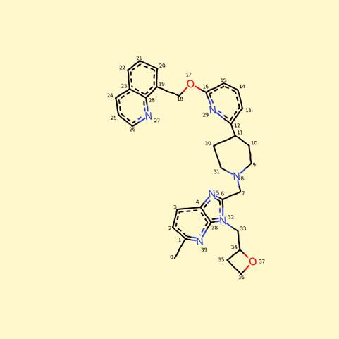 Cc1ccc2nc(CN3CCC(c4cccc(OCc5cccc6cccnc56)n4)CC3)n(CC3CCO3)c2n1